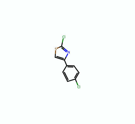 Clc1ccc(-c2csc(Cl)n2)cc1